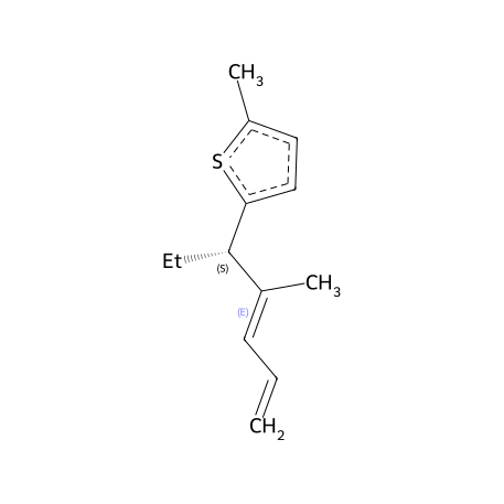 C=C/C=C(\C)[C@H](CC)c1ccc(C)s1